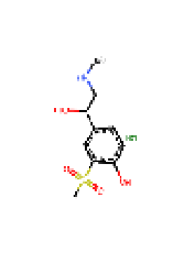 CC(C)(C)NCC(O)c1ccc(O)c(S(C)(=O)=O)c1.Cl